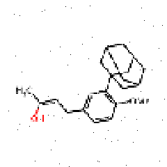 COc1ccc(CC=C(C)O)cc1C12CC3CC(CC(C3)C1)C2